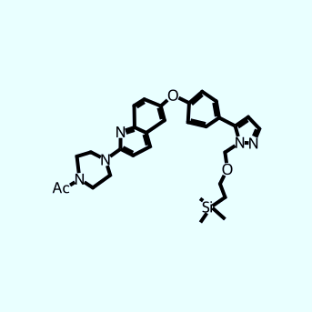 CC(=O)N1CCN(c2ccc3cc(Oc4ccc(-c5ccnn5COCC[Si](C)(C)C)cc4)ccc3n2)CC1